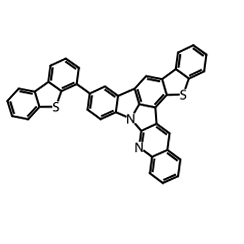 c1ccc2nc3c(cc2c1)c1c2sc4ccccc4c2cc2c4cc(-c5cccc6c5sc5ccccc56)ccc4n3c21